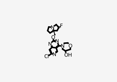 OC1COCCN(c2nc(OC[C@@]34CCCN3C[C@H](F)C4)nc3cc(Cl)ncc23)C1